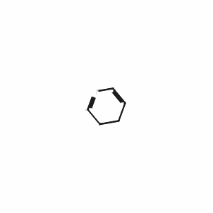 [C]1=CCCC=N1